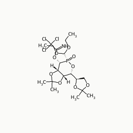 CCOC(OCC)[P@]1(=O)O[C@H]([C@H]2COC(C)(C)O2)[C@@H]2OC(C)(C)O[C@@H]2[C@@H]1OC(=N)C(Cl)(Cl)Cl